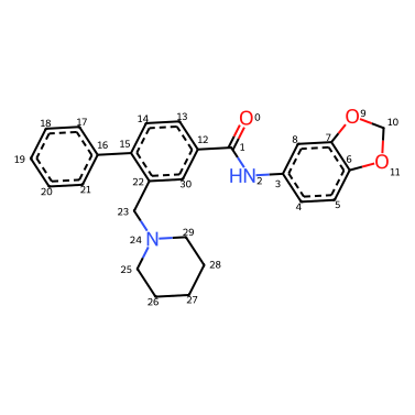 O=C(Nc1ccc2c(c1)OCO2)c1ccc(-c2ccccc2)c(CN2CCCCC2)c1